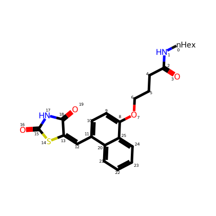 CCCCCCNC(=O)CCCOc1ccc(C=C2SC(=O)NC2=O)c2ccccc12